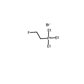 CC[P+](CC)(CC)CCF.[Br-]